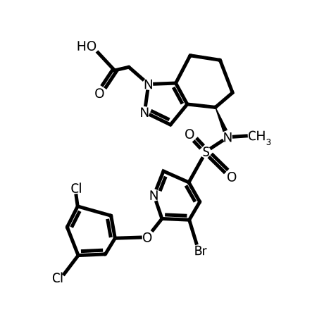 CN([C@@H]1CCCc2c1cnn2CC(=O)O)S(=O)(=O)c1cnc(Oc2cc(Cl)cc(Cl)c2)c(Br)c1